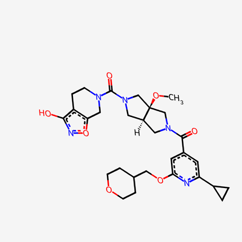 CO[C@@]12CN(C(=O)c3cc(OCC4CCOCC4)nc(C4CC4)c3)C[C@H]1CN(C(=O)N1CCc3c(O)noc3C1)C2